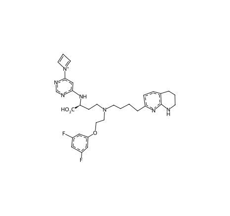 O=C(O)[C@H](CCN(CCCCc1ccc2c(n1)NCCC2)CCOc1cc(F)cc(F)c1)Nc1cc([N+]2=CC=C2)ncn1